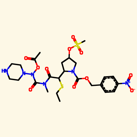 CCSC(C(=O)N(C)C(=O)N(OC(C)=O)N1CCNCC1)C1CC(OS(C)(=O)=O)CN1C(=O)OCc1ccc([N+](=O)[O-])cc1